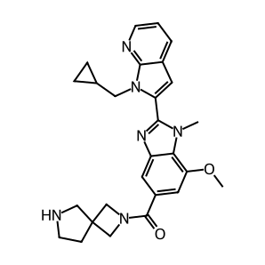 COc1cc(C(=O)N2CC3(CCNC3)C2)cc2nc(-c3cc4cccnc4n3CC3CC3)n(C)c12